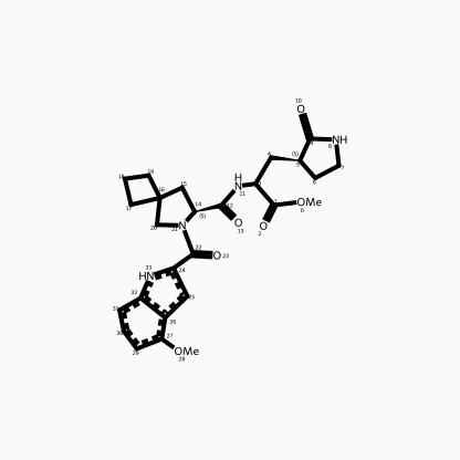 COC(=O)C(C[C@@H]1CCNC1=O)NC(=O)[C@@H]1CC2(CCC2)CN1C(=O)c1cc2c(OC)cccc2[nH]1